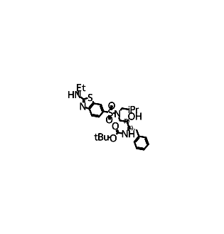 CCNc1nc2ccc(S(=O)(=O)N(CC(C)C)C[C@@H](O)[C@H](Cc3ccccc3)NC(=O)OC(C)(C)C)cc2s1